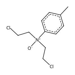 Cc1ccc([N+]([O-])(CCCl)CCCl)cc1